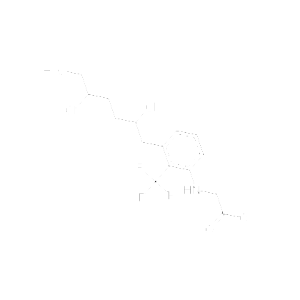 CCC(Cl)CCC(Cl)Cc1cccc(NCC(=O)O)c1C(F)(F)F